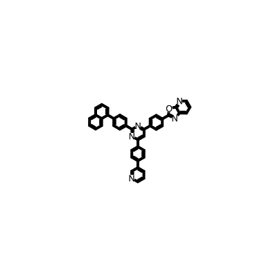 c1cncc(-c2ccc(-c3cc(-c4ccc(-c5nc6cccnc6o5)cc4)nc(-c4ccc(-c5cccc6ccccc56)cc4)n3)cc2)c1